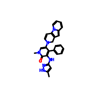 Cc1cc(Nc2c(-c3ccccc3)c(N3C=Cc4c(cc5ccccn45)C3)cn(C)c2=O)n[nH]1